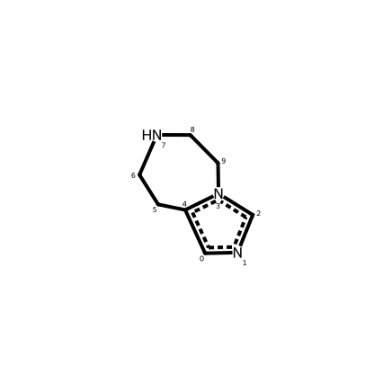 c1ncn2c1CCNCC2